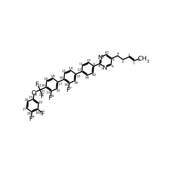 C/C=C/CCc1cnc(-c2ccc(-c3ccc(-c4ccc(C(F)(F)Oc5ccc(F)c(F)c5)c(F)c4)c(F)c3)cc2)nc1